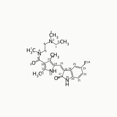 CCN(C)CCN(C)C(=O)c1c(C)[nH]c(/C=C2\C(=O)Nc3ccc(F)cc32)c1C